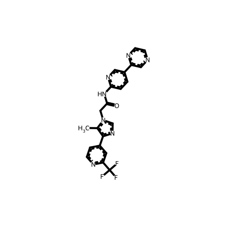 Cc1c(-c2ccnc(C(F)(F)F)c2)ncn1CC(=O)Nc1ccc(-c2cnccn2)cn1